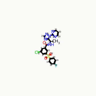 C[C@@H](NC(=O)c1cc(Cl)cc(S(=O)(=O)c2ccc(F)cc2)c1)c1ncnn1-c1ncccn1